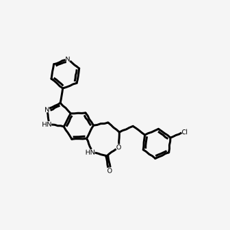 O=C1Nc2cc3[nH]nc(-c4ccncc4)c3cc2CC(Cc2cccc(Cl)c2)O1